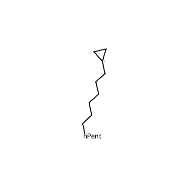 CCCCCCCCCCC[C]1CC1